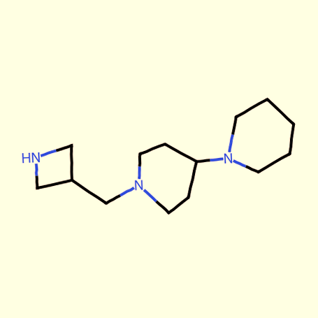 C1CCN(C2CCN(CC3CNC3)CC2)CC1